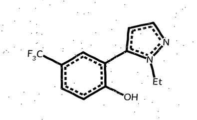 CCn1nccc1-c1cc(C(F)(F)F)ccc1O